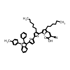 CCCCCCc1cc(-c2sc(-c3ccc(-c4c(-c5ccccc5)n(-c5ccc(C)cc5)c5ccccc45)s3)cc2CCCCCC)sc1C=C(C#N)C(=O)O